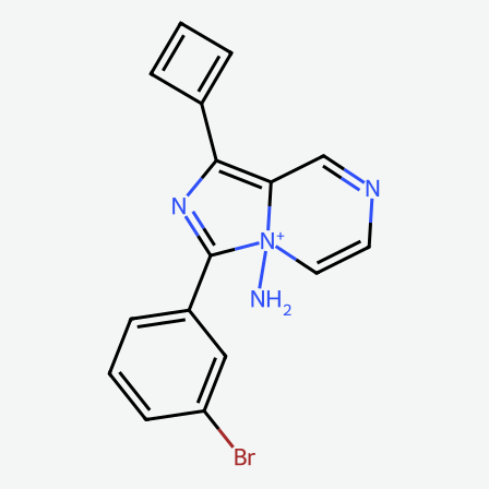 N[N+]12C=CN=CC1=C(C1=CC=C1)N=C2c1cccc(Br)c1